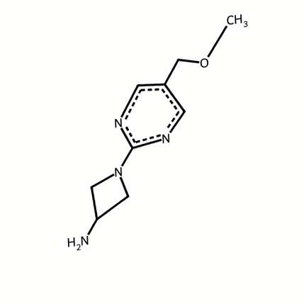 COCc1cnc(N2CC(N)C2)nc1